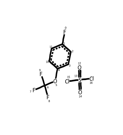 Fc1ccc(OC(F)(F)F)cc1.O=S(=O)(Cl)Cl